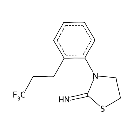 N=C1SCCN1c1ccccc1CCC(F)(F)F